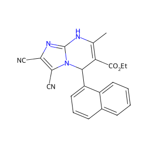 CCOC(=O)C1=C(C)Nc2nc(C#N)c(C#N)n2C1c1cccc2ccccc12